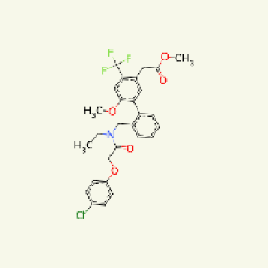 CCN(Cc1ccccc1-c1cc(CC(=O)OC)c(C(F)(F)F)cc1OC)C(=O)COc1ccc(Cl)cc1